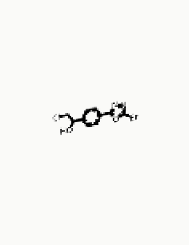 CCc1nnc(-c2ccc(C(O)CCl)cc2)o1